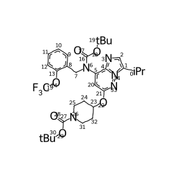 CC(C)c1cnc2c(N(Cc3ccccc3OC(F)(F)F)C(=O)OC(C)(C)C)cc(OC3CCN(C(=O)OC(C)(C)C)CC3)nn12